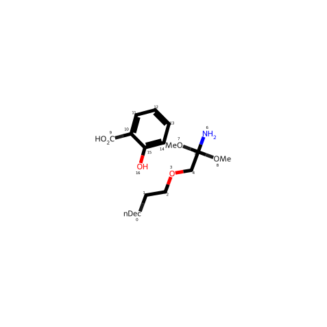 CCCCCCCCCCCCOCC(N)(OC)OC.O=C(O)c1ccccc1O